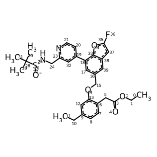 CCOC(=O)Cc1ccc(CC)cc1OCc1cc(-c2ccnc(CN[S@@+]([O-])C(C)(C)C)c2)c2oc(F)cc2c1